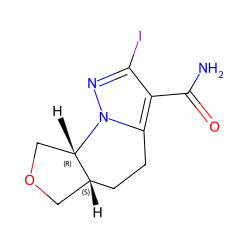 NC(=O)c1c(I)nn2c1CC[C@@H]1COC[C@@H]12